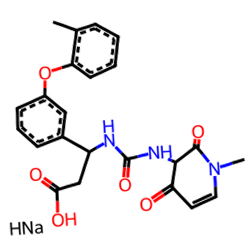 Cc1ccccc1Oc1cccc(C(CC(=O)O)NC(=O)NC2C(=O)C=CN(C)C2=O)c1.[NaH]